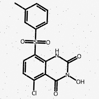 Cc1cccc(S(=O)(=O)c2ccc(Cl)c3c(=O)n(O)c(=O)[nH]c23)c1